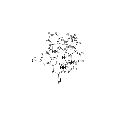 Clc1ccc(C2(c3ccc(Cl)cc3Cl)NC(c3ccccc3)(c3ccccc3)C(c3ccccc3)(c3ccccc3)N2c2ncc[nH]2)c(Cl)c1